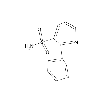 NS(=O)(=O)c1cccnc1-c1ccccc1